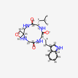 CC(C)C[C@@H]1NC(=O)[C@H](CCc2c[nH]c3ccccc23)NC(=O)CNC2(CNC1=O)COC2